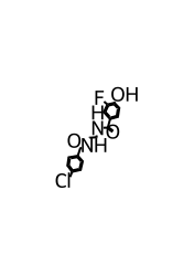 O=C(NCCNC(=O)c1ccc(O)c(F)c1)c1ccc(Cl)cc1